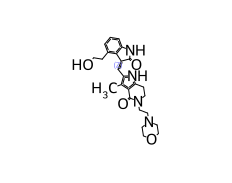 Cc1c(/C=C2\C(=O)Nc3cccc(CCO)c32)[nH]c2c1C(=O)N(CCN1CCOCC1)CC2